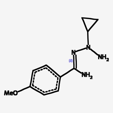 COc1ccc(/C(N)=N/N(N)C2CC2)cc1